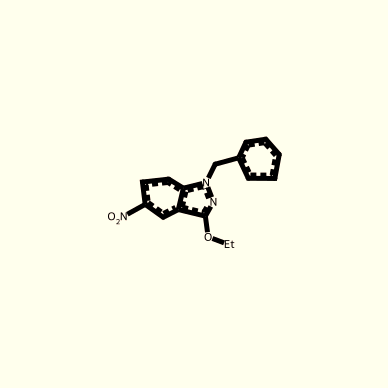 CCOc1nn(Cc2ccccc2)c2ccc([N+](=O)[O-])cc12